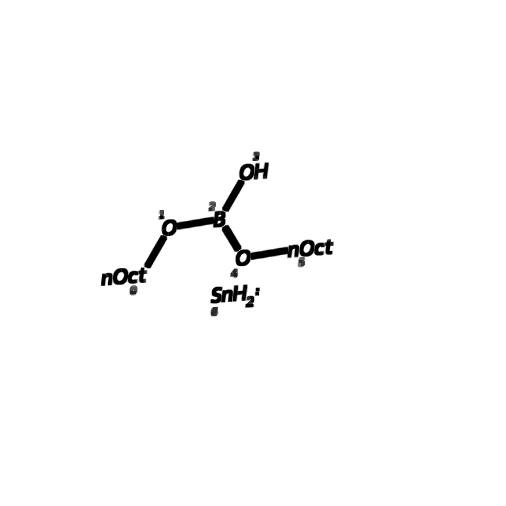 CCCCCCCCOB(O)OCCCCCCCC.[SnH2]